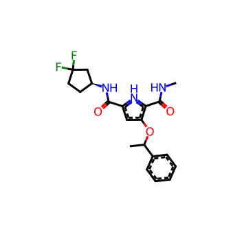 CNC(=O)c1[nH]c(C(=O)N[C@H]2CCC(F)(F)C2)cc1OC(C)c1ccccc1